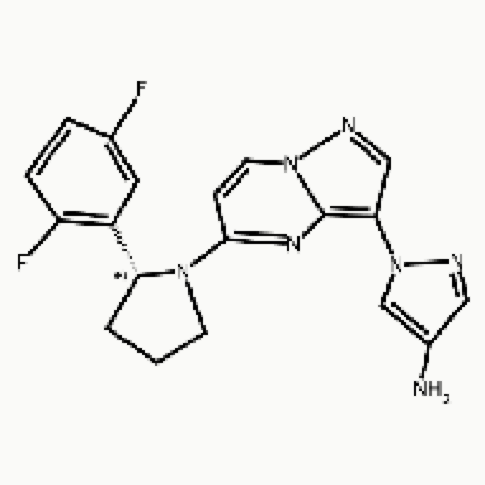 Nc1cnn(-c2cnn3ccc(N4CCC[C@@H]4c4cc(F)ccc4F)nc23)c1